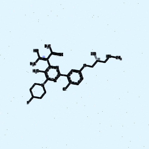 CNC[C@@H](O)COc1ccc(Cl)c(-c2nc(/C(C(C)=N)=C(\C)O)c(C)c(N3CCC(F)CC3)n2)c1